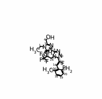 CCn1c(CO)nn(-c2nnc(/C(F)=C/c3c(C)cccc3P)n2C[C@@H](C)C(F)(F)F)c1=O